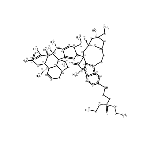 CCOP(=O)(CCNc1ccc2[nH]c3c(c2c1)CCN1C[C@@H](C[C@@](O)(CC)C1)C[C@]3(C(=O)OC)C1C=C2C(=CC1OC)N(C)[C@H]1[C@@](O)(C(=O)O)[C@H](OC(C)=O)[C@]3(CC)C=CCN4CC[C@]21[C@@H]43)OCC